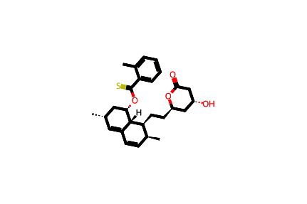 Cc1ccccc1C(=S)O[C@H]1C[C@@H](C)C=C2C=C[C@H](C)[C@H](CC[C@@H]3C[C@@H](O)CC(=O)O3)[C@H]21